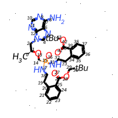 C[C@H](Cn1cnc2c(N)ncnc21)OC[P@@](=O)(NCCc1ccccc1C(=O)OCC(C)(C)C)NCCc1ccccc1C(=O)OC(C)(C)C